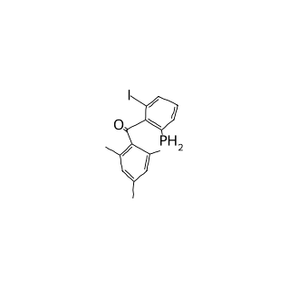 Cc1cc(C)c(C(=O)c2c(P)cccc2I)c(C)c1